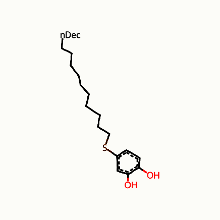 CCCCCCCCCCCCCCCCCCCCSc1ccc(O)c(O)c1